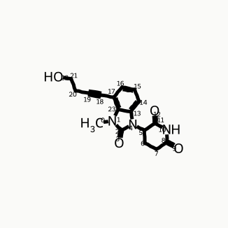 Cn1c(=O)n(C2CCC(=O)NC2=O)c2cccc(C#CCCO)c21